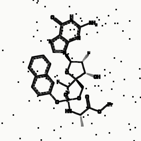 CC(C)OC(=O)[C@H](C)NP(=O)(OC[C@@]1(C(F)F)O[C@@H](n2cnc3c(=O)[nH]c(N)nc32)[C@H](F)[C@@H]1O)Oc1ccc2ccccc2c1